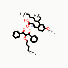 CCCCCC(CC)c1cc(OC)ccc1/C=C/C(=O)O.CCCCCOC(C(=O)c1ccccc1)C(=O)c1ccccc1